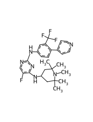 CN1C(C)(C)CC(Nc2nc(Nc3ccc(-c4ccncc4)c(C(F)(F)F)c3)ncc2F)CC1(C)C